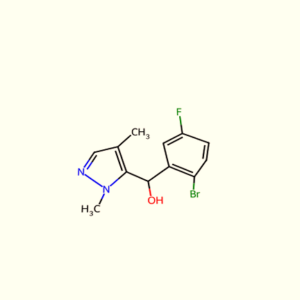 Cc1cnn(C)c1C(O)c1cc(F)ccc1Br